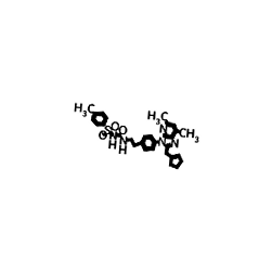 Cc1ccc(S(=O)(=O)NC(=O)NCCc2ccc(-n3c(CC4=CCCC4)nc4c(C)cc(C)nc43)cc2)cc1